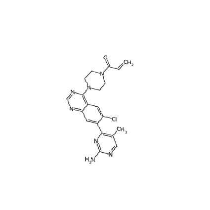 C=CC(=O)N1CCN(c2ncnc3cc(-c4nc(N)ncc4C)c(Cl)cc23)CC1